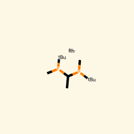 CC(P(C)C(C)(C)C)P(C)C(C)(C)C.[Rh]